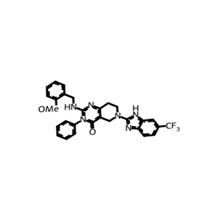 COc1ccccc1CNc1nc2c(c(=O)n1-c1ccccc1)CN(c1nc3ccc(C(F)(F)F)cc3[nH]1)CC2